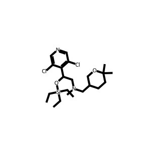 CC[Si](CC)(CC)OC(CN(C)CC1CCC(C)(C)OC1)c1c(Cl)cncc1Cl